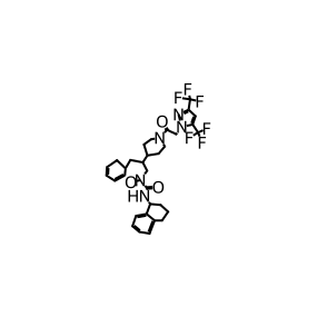 O=C(Cn1nc(C(F)(F)F)cc1C(F)(F)F)N1CCC(C2CC3CC=CC=C3ON(C(=O)NC3CCCc4ccccc43)C2)CC1